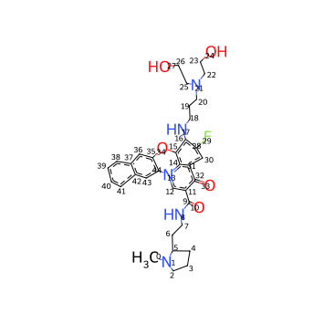 CN1CCCC1CCNC(=O)c1cn2c3c(c(NCCCN(CCO)CCO)c(F)cc3c1=O)Oc1cc3ccccc3cc1-2